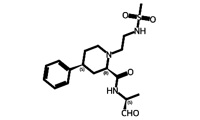 C[C@@H](C=O)NC(=O)[C@H]1C[C@@H](c2ccccc2)CCN1CCNS(C)(=O)=O